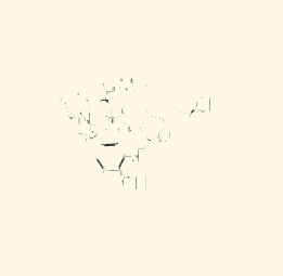 C=CC[C@H]1C[C@@H](Oc2c(S(=O)(=O)N3CCC[C@H]3C(=O)OC)ccc(C)c2F)CO1